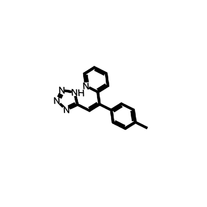 Cc1ccc(/C(=C/c2nnn[nH]2)c2ccccn2)cc1